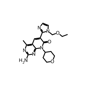 CCOCn1ccnc1-c1cc2c(C)nc(N)nc2n(C2CCOCC2)c1=O